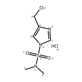 CN(C)S(=O)(=O)n1cnc(CCl)c1.Cl